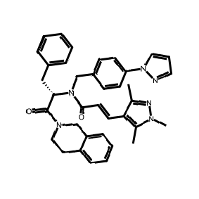 Cc1nn(C)c(C)c1C=CC(=O)N(Cc1ccc(-n2cccn2)cc1)[C@@H](Cc1ccccc1)C(=O)N1CCc2ccccc2C1